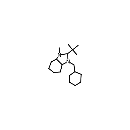 CN1C2CCCCC2N(CC2CCCCC2)C1C(C)(C)C